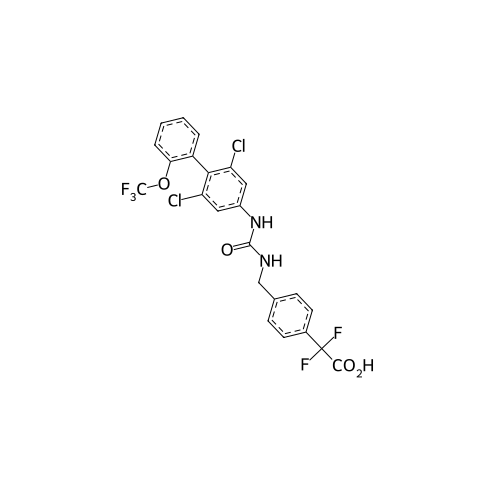 O=C(NCc1ccc(C(F)(F)C(=O)O)cc1)Nc1cc(Cl)c(-c2ccccc2OC(F)(F)F)c(Cl)c1